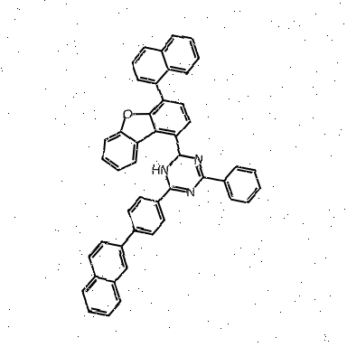 c1ccc(C2=NC(c3ccc(-c4cccc5ccccc45)c4oc5ccccc5c34)NC(c3ccc(-c4ccc5ccccc5c4)cc3)=N2)cc1